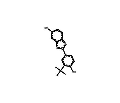 CC(C)(C)c1cc(-c2nc3ccc(O)cc3o2)ccc1O